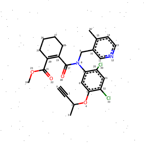 C#CC(C)Oc1cc(N(Cc2cnccc2C)C(=O)C2=C(C(=O)OC)CCCC2)c(Cl)cc1Cl